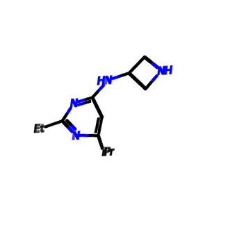 CCc1nc(NC2CNC2)cc(C(C)C)n1